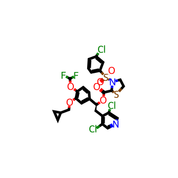 O=C(O[C@@H](Cc1c(Cl)cncc1Cl)c1ccc(OC(F)F)c(OCC2CC2)c1)C1SCCN1S(=O)(=O)c1cccc(Cl)c1